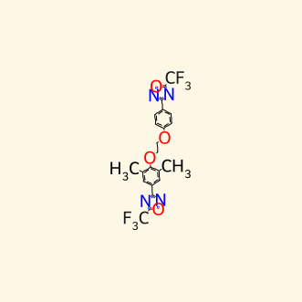 Cc1cc(-c2noc(C(F)(F)F)n2)cc(C)c1OCCOc1ccc(-c2noc(C(F)(F)F)n2)cc1